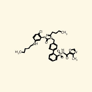 CCCCCNc1ccc(Cl)c(-n2nc(CCCC)n(Cc3ccc(-c4ccccc4S(=O)(=O)NC(=O)c4ocnc4C)cc3)c2=O)c1